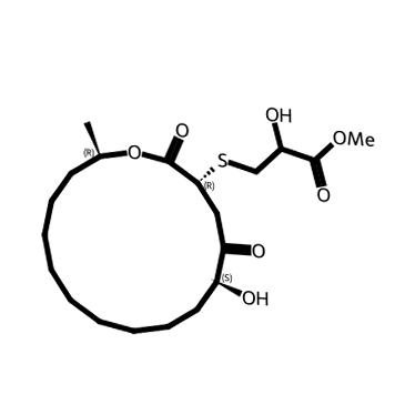 COC(=O)C(O)CS[C@@H]1CC(=O)[C@@H](O)CCCCCCCCC[C@@H](C)OC1=O